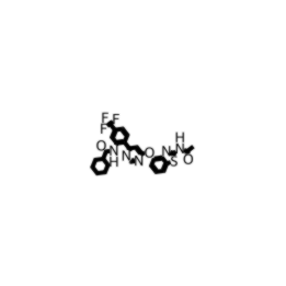 CC(=O)Nc1nc2c(Oc3cc(-c4ccc(C(F)(F)F)cc4NC(=O)C4CCCCC4)ncn3)cccc2s1